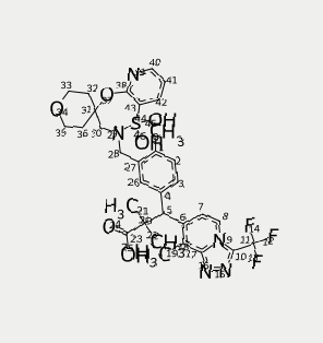 Cc1ccc(C(c2ccn3c(C(F)(F)F)nnc3c2C)C(C)(C)C(=O)O)cc1CN1CC2(CCOCC2)Oc2ncccc2S1(O)O